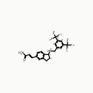 NC(=O)/C=C/c1ccc2c(c1)CCC2NCc1cc(C(F)(F)F)cc(C(F)(F)F)c1